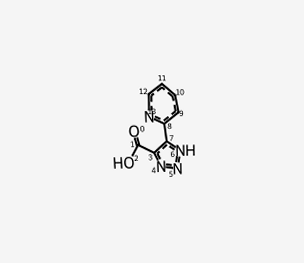 O=C(O)c1nn[nH]c1-c1ccccn1